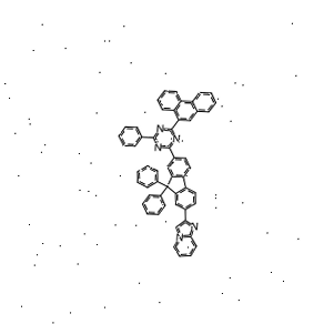 c1ccc(-c2nc(-c3ccc4c(c3)C(c3ccccc3)(c3ccccc3)c3cc(-c5cn6ccccc6n5)ccc3-4)nc(-c3cc4ccccc4c4ccccc34)n2)cc1